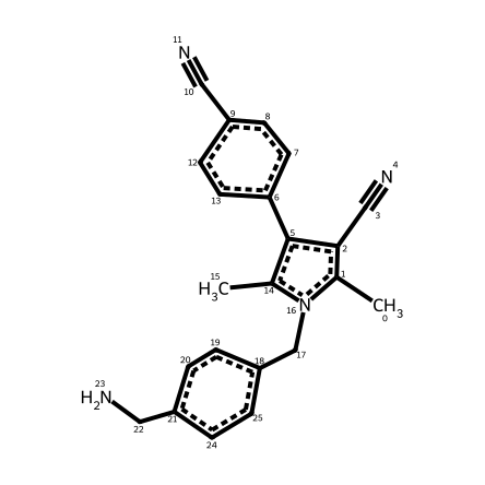 Cc1c(C#N)c(-c2ccc(C#N)cc2)c(C)n1Cc1ccc(CN)cc1